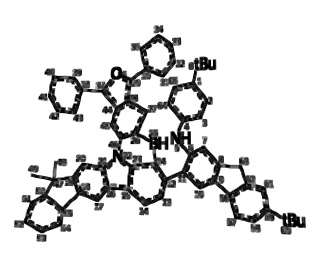 CC(C)(C)c1ccc(Nc2cc3c(cc2-c2ccc4c5cc6c(cc5n5c4c2Bc2cc4c(-c7ccccc7)oc(-c7ccccc7)c4cc2-5)C(C)(C)c2ccccc2-6)-c2ccc(C(C)(C)C)cc2C3)cc1